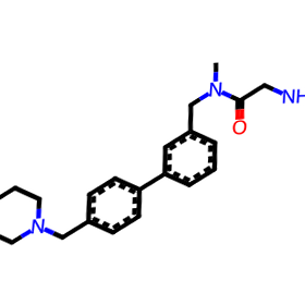 CN(Cc1cccc(-c2ccc(CN3CCCCC3)cc2)c1)C(=O)CN